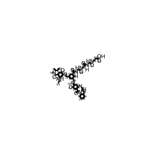 C=CC(=C)N(C)C(=O)c1cc(OC)c(OCc2cc(COc3cc4c(cc3OC)C(=O)N3c5ccccc5C[C@H]3C=N4)cc(C(=O)NCC(=O)NCC(=O)NCC(=O)NCCC(=O)O)c2)cc1NCC